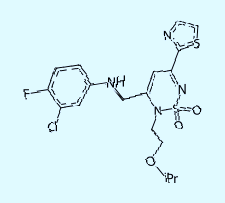 CC(C)OCCN1C(CNc2ccc(F)c(Cl)c2)=CC(c2nccs2)=NS1(=O)=O